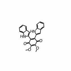 COC1=C(OC)C(=O)C(c2cc3ccccc3[nH]2)=C(c2cc3ccccc3[nH]2)C1=O